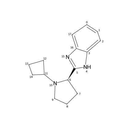 c1ccc2[nH]c([C@H]3CCCN3C3CCC3)nc2c1